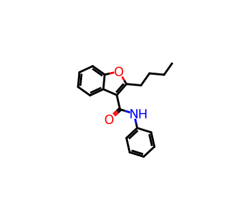 CCCCc1oc2ccccc2c1C(=O)Nc1ccccc1